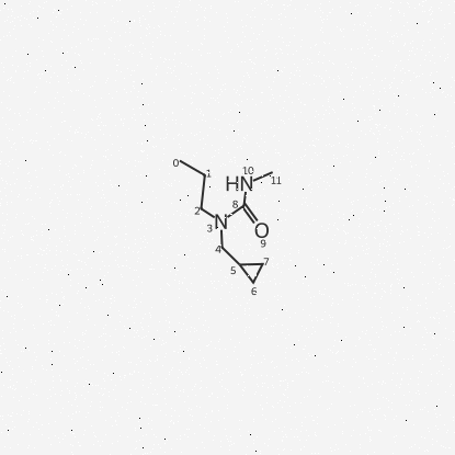 CCCN(CC1CC1)C(=O)NC